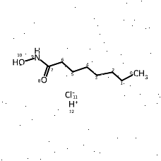 CCCCCCCC(=O)NO.[Cl-].[H+]